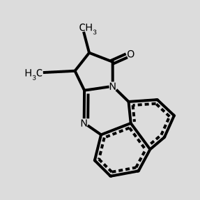 CC1C(=O)N2C(=Nc3cccc4cccc2c34)C1C